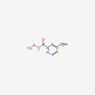 COc1ccnc(C(=O)OCCl)c1